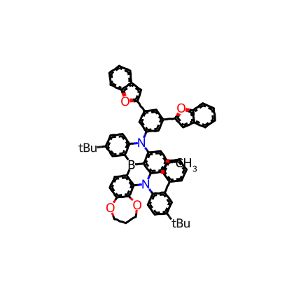 Cc1cc2c3c(c1)N(c1ccc(C(C)(C)C)cc1-c1ccccc1)c1c(ccc4c1OCCCO4)B3c1cc(C(C)(C)C)ccc1N2c1cc(-c2cc3ccccc3o2)cc(-c2cc3ccccc3o2)c1